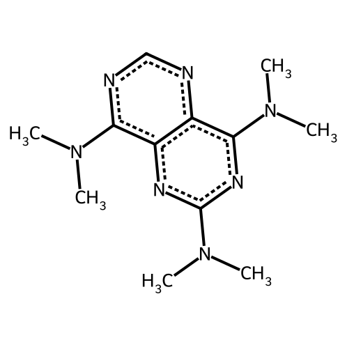 CN(C)c1nc(N(C)C)c2ncnc(N(C)C)c2n1